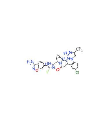 N/C(=C\N(N)c1ccc(Cl)cc1-c1cc2n(c(=O)c1)C(c1nc(F)c(-c3ccc4c(N)noc4c3)[nH]1)C1CC21)C(F)(F)F